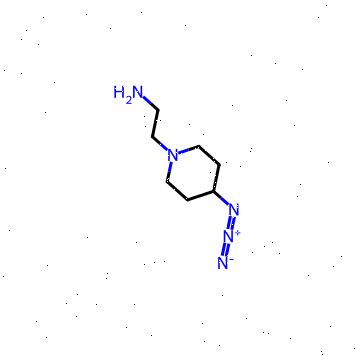 [N-]=[N+]=NC1CCN(CCN)CC1